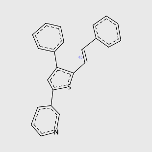 C(=C\c1sc(-c2cccnc2)cc1-c1ccccc1)/c1ccccc1